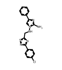 Nc1nc(-c2ccccc2)cn1NCc1nc(-c2ccc(Cl)cc2)ns1